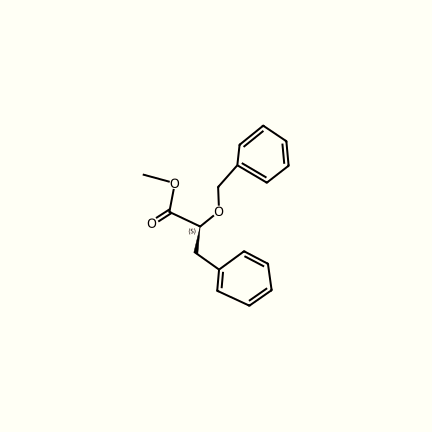 COC(=O)[C@H](Cc1ccccc1)OCc1ccccc1